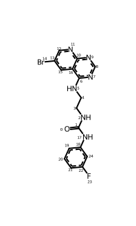 O=C(NCCNc1ncnc2ncc(Br)cc12)Nc1cccc(F)c1